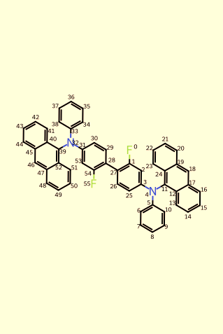 Fc1cc(N(c2ccccc2)c2c3ccccc3cc3ccccc23)ccc1-c1ccc(N(c2ccccc2)c2c3ccccc3cc3ccccc23)cc1F